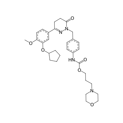 COc1ccc(C2=NN(Cc3ccc(NC(=O)OCCCN4CCOCC4)cc3)C(=O)CC2)cc1OC1CCCC1